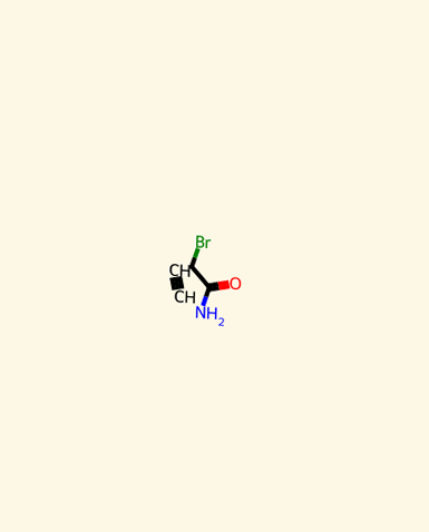 C#C.NC(=O)CBr